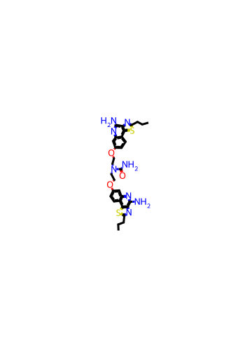 CCCc1nc2c(N)nc3cc(OCCN(CCOc4ccc5c(c4)nc(N)c4nc(CCC)sc45)C(N)=O)ccc3c2s1